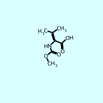 COC(=O)NC(C(=O)O)=C(C)C